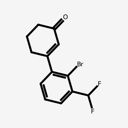 O=C1C=C(c2cccc(C(F)F)c2Br)CCC1